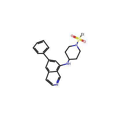 CCS(=O)(=O)N1CCC(Nc2cc(-c3ccccc3)cc3ccncc23)CC1